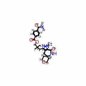 CCn1nc(CC(C)(C)COC(=O)c2ccc(C(=O)N(C)C)cc2)c2c1C(=O)NCC1(CCOCC1)C2